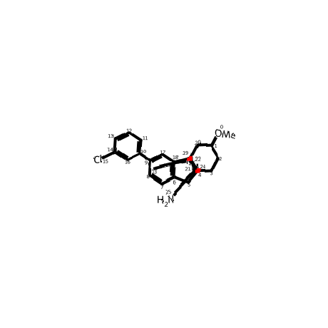 COC1CCC23Cc4ccc(-c5cccc(Cl)c5)cc4C2(C1)CN(C)C(N)=N3